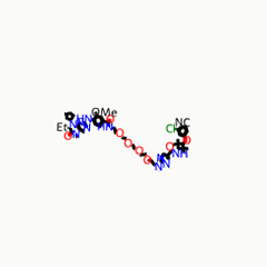 CC[C@@H]1C(=O)N(C)c2cnc(Nc3ccc(C(=O)NCCOCCOCCOCCOCCN(C)c4ncc(C(=O)NC5C(C)(C)C(Oc6ccc(C#N)c(Cl)c6)C5(C)C)cn4)cc3OC)nc2N1C1CCCC1